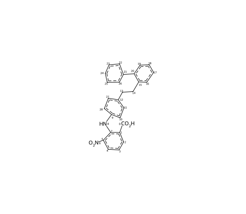 O=C(O)c1cccc([N+](=O)[O-])c1Nc1ccc(CCc2ccccc2-c2ccccc2)cc1